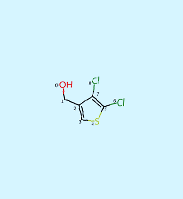 OCc1csc(Cl)c1Cl